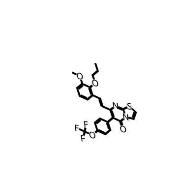 CCCOc1c(C=Cc2nc3sccn3c(=O)c2-c2ccc(OC(F)(F)F)cc2)cccc1OC